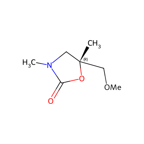 COC[C@@]1(C)CN(C)C(=O)O1